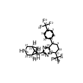 FC(F)(F)c1ccc(C2CCC(C(F)(F)F)n3nc(N[C@@H]4[C@@H]5CC[C@H]4CNC5)nc32)cc1